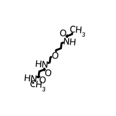 CCC(=O)NCCCOCCNC(=O)CC(=O)NC